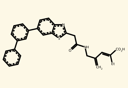 C=C(/C=C(\CC)C(=O)O)CNC(=O)Cc1nc2ccc(-c3cccc(-c4ccccc4)c3)cc2s1